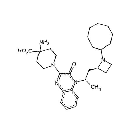 C[C@@H](C[C@@H]1CCN1C1CCCCCCC1)n1c(=O)c(N2CCC(N)(C(=O)O)CC2)nc2ccccc21